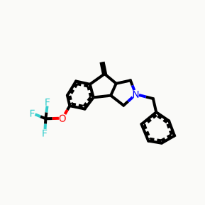 C=C1c2ccc(OC(F)(F)F)cc2C2CN(Cc3ccccc3)CC12